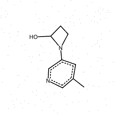 Cc1cncc(N2CCC2O)c1